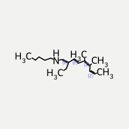 C\C=C/C(C)=C(C)\C=C\C(=C\NCCCCC)CC